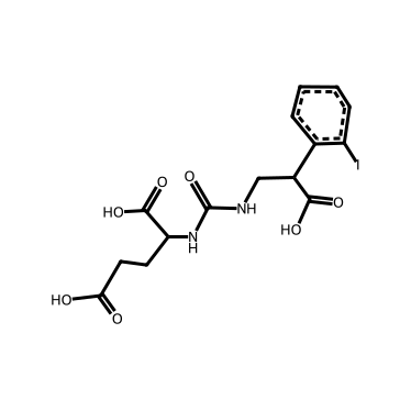 O=C(O)CCC(NC(=O)NCC(C(=O)O)c1ccccc1I)C(=O)O